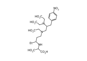 CCC(CCN(CC(=O)O)CC(Cc1ccc([N+](=O)[O-])cc1)N(CC(=O)O)CC(=O)O)NC(C(=O)O)C(=O)O